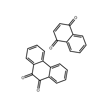 O=C1C(=O)c2ccccc2-c2ccccc21.O=C1C=CC(=O)c2ccccc21